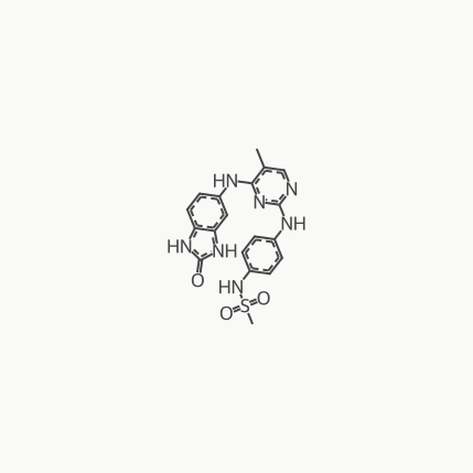 Cc1cnc(Nc2ccc(NS(C)(=O)=O)cc2)nc1Nc1ccc2[nH]c(=O)[nH]c2c1